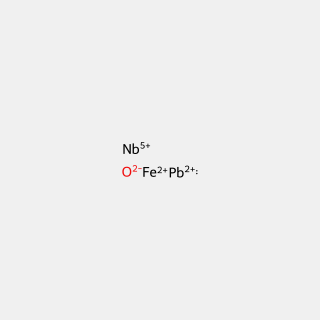 [Fe+2].[Nb+5].[O-2].[Pb+2]